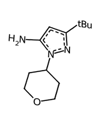 CC(C)(C)c1cc(N)n(C2CCOCC2)n1